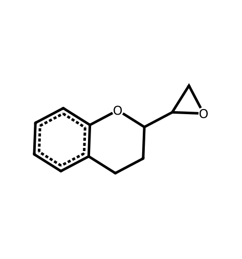 c1ccc2c(c1)CCC(C1CO1)O2